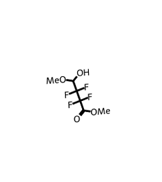 COC(=O)C(F)(F)C(F)(F)C(O)OC